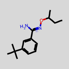 CCC(C)O/N=C(\N)c1cccc(C(C)(C)C)c1